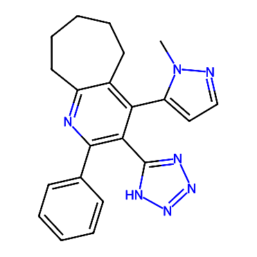 Cn1nccc1-c1c2c(nc(-c3ccccc3)c1-c1nnn[nH]1)CCCCC2